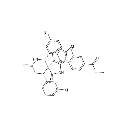 COC(=O)c1ccc(Oc2ccc(Br)cc2[C@H]2NC(=O)C[C@@H](c3cccc(Cl)c3)[C@]23C(=O)Nc2cc(Cl)ccc23)c(Cl)c1